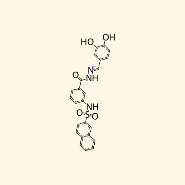 O=C(N/N=C/c1ccc(O)c(O)c1)c1cccc(NS(=O)(=O)c2ccc3ccccc3c2)c1